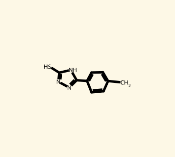 Cc1ccc(-c2nnc(S)[nH]2)cc1